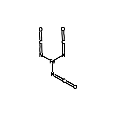 O=C=[N][Fe]([N]=C=O)[N]=C=O